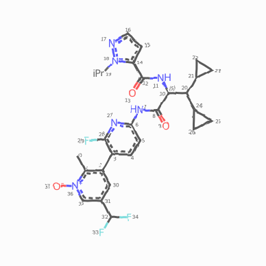 Cc1c(-c2ccc(NC(=O)[C@@H](NC(=O)c3ccnn3C(C)C)C(C3CC3)C3CC3)nc2F)cc(C(F)F)c[n+]1[O-]